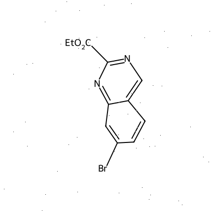 CCOC(=O)c1ncc2ccc(Br)cc2n1